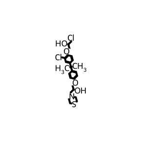 CC(C)(c1ccc(OCC(O)CN2CCSCC2)cc1)c1ccc(OCC(O)CCl)c(Cl)c1